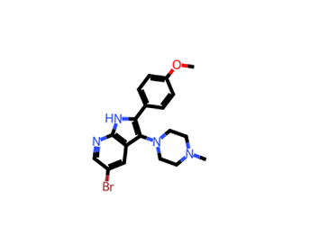 COc1ccc(-c2[nH]c3ncc(Br)cc3c2N2CCN(C)CC2)cc1